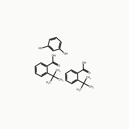 CC(C)(C)c1ccccc1C(=O)O.CC(C)(C)c1ccccc1C(=O)O.Oc1cccc(O)c1